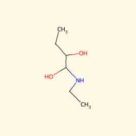 CCNC(O)C(O)CC